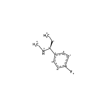 CC[C@H](NC)c1ccc(F)cc1